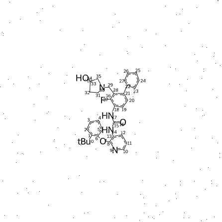 CC(C)(C)c1ccccc1Oc1ncccc1NC(=O)Nc1ccc(-c2ccccc2)c(CN2CC[C@H](O)C2)c1F